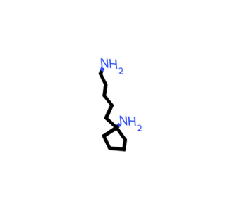 NCCCCCC1(N)CCCC1